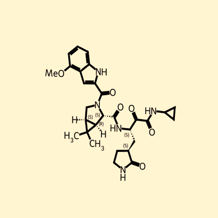 COc1cccc2[nH]c(C(=O)N3C[C@H]4[C@@H]([C@H]3C(=O)N[C@@H](C[C@@H]3CCNC3=O)C(=O)C(=O)NC3CC3)C4(C)C)cc12